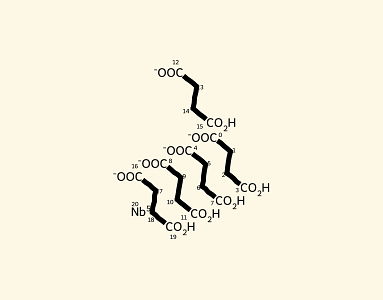 O=C([O-])CCC(=O)O.O=C([O-])CCC(=O)O.O=C([O-])CCC(=O)O.O=C([O-])CCC(=O)O.O=C([O-])CCC(=O)O.[Nb+5]